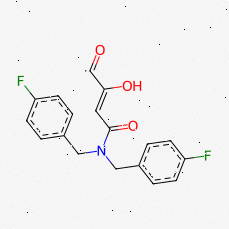 O=[C]C(O)=CC(=O)N(Cc1ccc(F)cc1)Cc1ccc(F)cc1